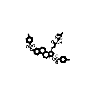 Cc1ccc(S(=O)(=O)Oc2ccc3c(c2)CCC2C3CC[C@@]3(C)C2[C@H](CCC(=O)Nc2ncc(C)s2)C[C@@H]3OS(=O)(=O)c2ccc(C)cc2)cc1